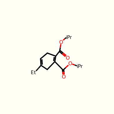 CCC1=CCC(C(=O)OC(C)C)=C(C(=O)OC(C)C)C1